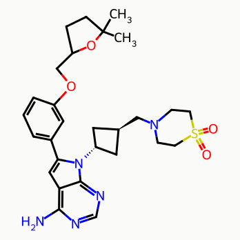 CC1(C)CCC(COc2cccc(-c3cc4c(N)ncnc4n3[C@H]3C[C@H](CN4CCS(=O)(=O)CC4)C3)c2)O1